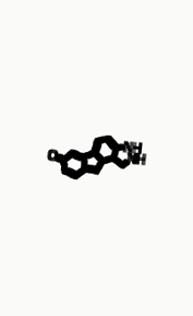 O=C1C=CC2=CC3C(=CC=C4NNCC43)C2=C1